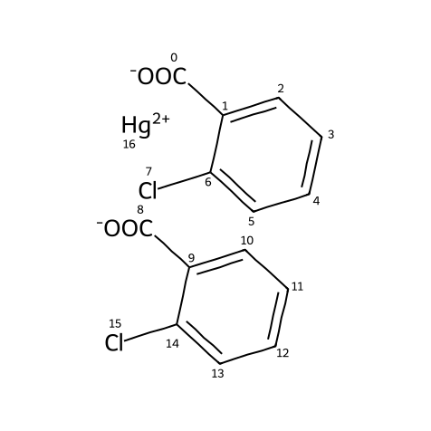 O=C([O-])c1ccccc1Cl.O=C([O-])c1ccccc1Cl.[Hg+2]